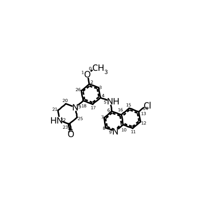 COc1cc(Nc2ccnc3ccc(Cl)cc23)cc(N2CCNC(=O)C2)c1